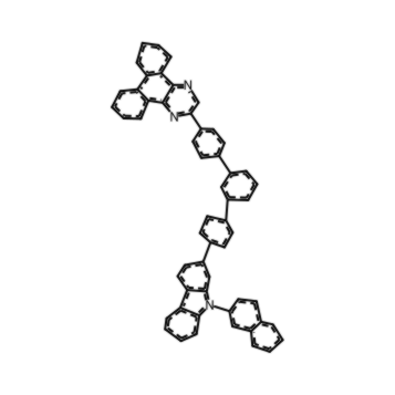 c1cc(-c2ccc(-c3ccc4c5ccccc5n(-c5ccc6ccccc6c5)c4c3)cc2)cc(-c2ccc(-c3cnc4c5ccccc5c5ccccc5c4n3)cc2)c1